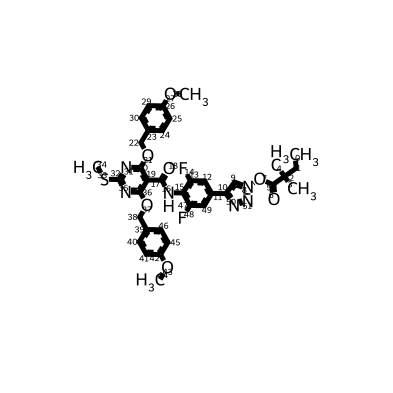 CCC(C)(C)C(=O)On1cc(-c2cc(F)c(NC(=O)c3c(OCc4ccc(OC)cc4)nc(SC)nc3OCc3ccc(OC)cc3)c(F)c2)nn1